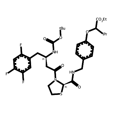 CCOC(=O)C(Oc1ccc(CNC(=O)[C@H]2SCCN2C(=O)C[C@@H](Cc2cc(F)c(F)cc2F)NC(=O)OC(C)(C)C)cc1)C(C)C